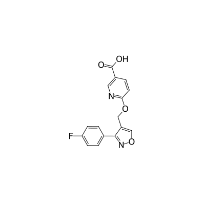 O=C(O)c1ccc(OCc2conc2-c2ccc(F)cc2)nc1